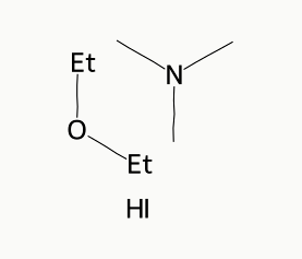 CCOCC.CN(C)C.I